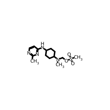 Cc1nccc(NC2CCC(N(C)COS(C)(=O)=O)CC2)n1